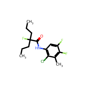 CCCC(F)(CCC)C(=O)Nc1cc(F)c(F)c(C)c1Cl